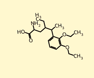 CCOc1cccc(C(C)C(CC)CC(N)C(=O)O)c1OCC